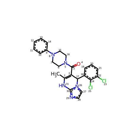 CC1=C(C(=O)N2CCN(c3ccccc3)CC2)C(c2cccc(Cl)c2Cl)n2ccnc2N1